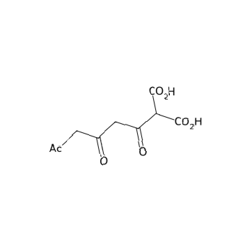 CC(=O)CC(=O)CC(=O)C(C(=O)O)C(=O)O